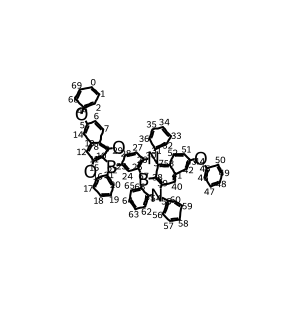 c1ccc(Oc2ccc3c4c5c(cc3c2)Oc2ccccc2B5c2cc3c(cc2O4)N(c2ccccc2)c2c4c(cc5cc(Oc6ccccc6)ccc25)N(c2ccccc2)c2ccccc2B34)cc1